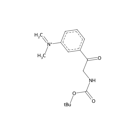 C=[N+](C)c1cccc(C(=O)CNC(=O)OC(C)(C)C)c1